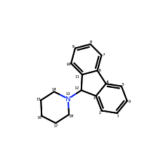 c1ccc2c(c1)-c1ccccc1C2N1CCCCC1